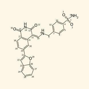 NS(=O)(=O)c1ccc(CNC=C2C(=O)NC(=O)c3ccc(-c4cc5ccccc5o4)cc32)cc1